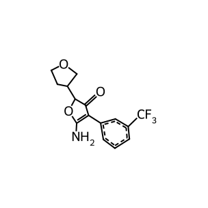 NC1=C(c2cccc(C(F)(F)F)c2)C(=O)C(C2CCOC2)O1